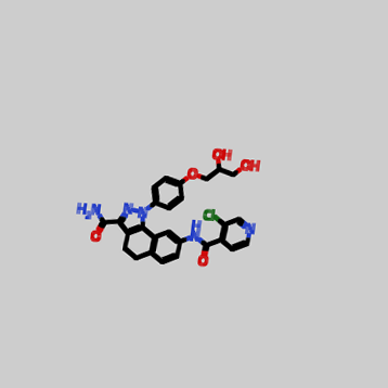 NC(=O)c1nn(-c2ccc(OCC(O)CO)cc2)c2c1CCc1ccc(NC(=O)c3ccncc3Cl)cc1-2